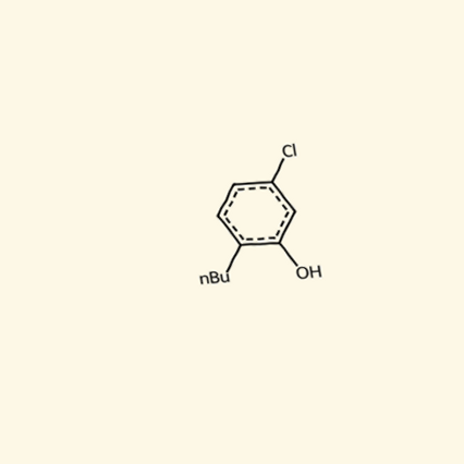 CCCCc1ccc(Cl)cc1O